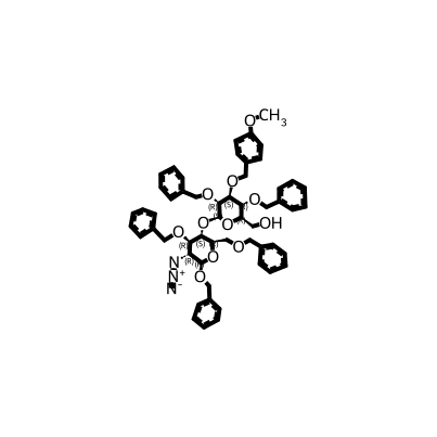 COc1ccc(CO[C@@H]2[C@@H](OCc3ccccc3)[C@H](O[C@H]3[C@H](OCc4ccccc4)[C@@H](N=[N+]=[N-])[C@H](OCc4ccccc4)O[C@@H]3COCc3ccccc3)O[C@H](CO)[C@H]2OCc2ccccc2)cc1